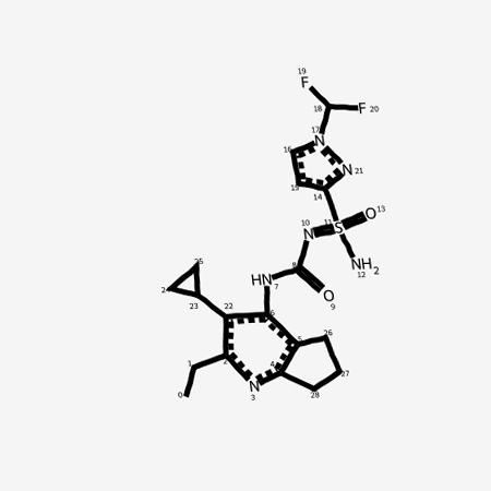 CCc1nc2c(c(NC(=O)N=S(N)(=O)c3ccn(C(F)F)n3)c1C1CC1)CCC2